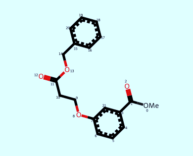 COC(=O)c1cccc(OCCC(=O)OCc2ccccc2)c1